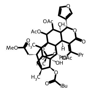 CCC(C)C(=O)O[C@H]1[C@]2(C)C[C@]34O[C@]5(C)OC6(C(OC(C)=O)C(OC(C)=O)[C@]7(C)[C@@H](/C(=C(\O)C(C)C)C(=O)O[C@H]7c7ccoc7)[C@@]6(O5)[C@H](OC(C)=O)[C@@]13O)C4(C)[C@H]2CC(=O)OC